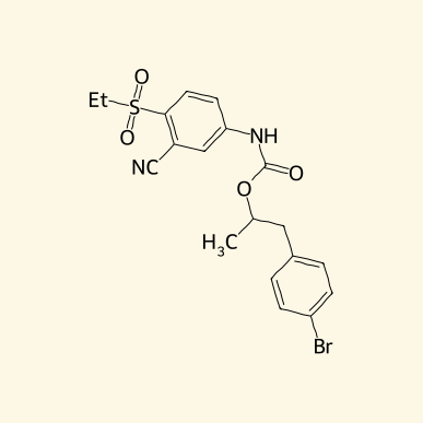 CCS(=O)(=O)c1ccc(NC(=O)OC(C)Cc2ccc(Br)cc2)cc1C#N